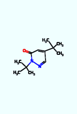 CC(C)(C)c1cnn(C(C)(C)C)c(=O)c1